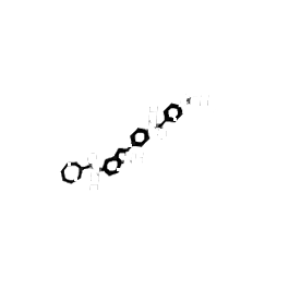 COc1ccc(C(=O)Nc2ccc(-c3cc4cc(NC(=O)C5CCCCCC5)ccc4[nH]3)cc2)cc1